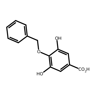 O=C(O)c1cc(O)c(OCc2ccccc2)c(O)c1